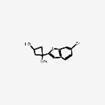 CC(=O)OC1(c2cc3ccc(Br)cc3s2)CC(O)C1